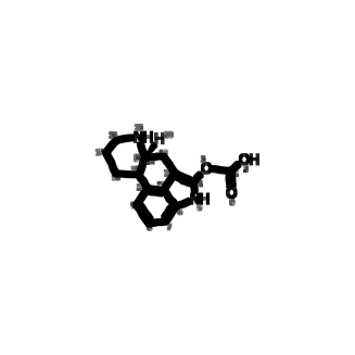 O=C(O)Oc1[nH]c2cccc3c2c1C[C@H]1NCCCC31